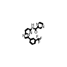 O=C(Nc1ccc2ncc(-c3cccc(C(F)(F)F)c3)n2n1)c1cnccn1